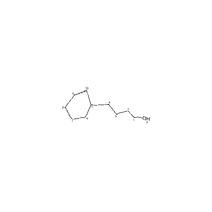 O[CH]CCCC1CCCCC1